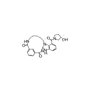 C[C@H]1CCCCNC(=O)c2cccc(c2)C(=O)/N=C2\Nc3cccc(C(=O)N4CC[C@@](C)(O)C4)c3N21